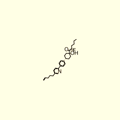 C=CCCCc1ccc(-c2ccc([C@H]3CC[C@@](O)(C(=O)[C@@H](F)CCCC)CC3)cc2)nc1